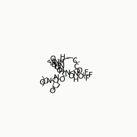 COc1ccc2c(O[C@@H]3C[C@H]4C(=O)N[C@]5(C(=O)NS(=O)(=O)C6(C)CC6)C[C@H]5/C=C\CC[C@@H](C)C[C@@H](C)[C@H](NC(=O)OC(C)(C)C(F)(F)F)C(=O)N4C3)ncc(N3CC(C)OC(C)C3)c2c1